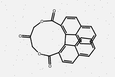 O=C1COC(=O)c2ccc3ccccc3c2-c2c(ccc3ccccc23)C(=O)OC1